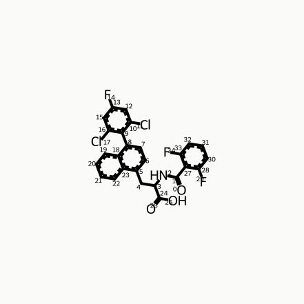 O=C(NC(Cc1ccc(-c2c(Cl)cc(F)cc2Cl)c2ccccc12)C(=O)O)c1c(F)cccc1F